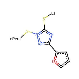 CCCCCSn1nc(-c2ccco2)nc1SCC